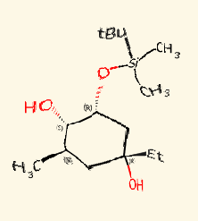 CC[C@@]1(O)C[C@@H](C)[C@H](O)[C@H](O[Si](C)(C)C(C)(C)C)C1